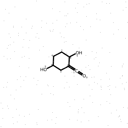 O=C=C1CC(O)CCC1O